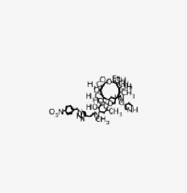 CC[C@H]1OC(=O)[C@H](C)C(=O)[C@H](C)[C@@H](O[C@@H]2O[C@H](C)C[C@H](N(C)CCc3cn(Cc4ccc([N+](=O)[O-])cc4)nn3)[C@H]2O)[C@@]2(C)C[C@@H](CO2)/C(=N\O[C@@H]2CCNC2)[C@H](C)[C@@H](O)[C@]1(C)O